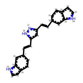 C(=Cc1cc(C=Cc2ccc3cc[nH]c3c2)[nH]n1)c1ccc2cc[nH]c2c1